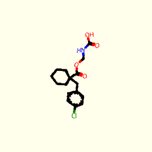 O=C(O)NCOC(=O)C1(Cc2ccc(Cl)cc2)CCCCC1